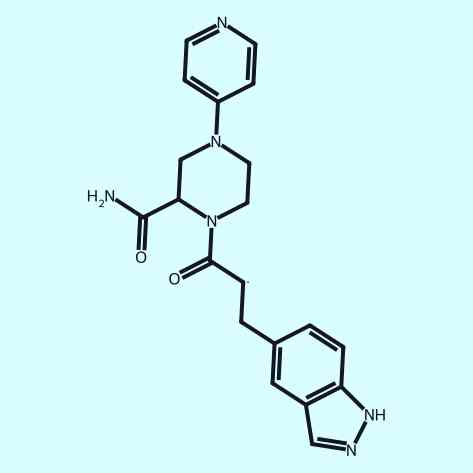 NC(=O)C1CN(c2ccncc2)CCN1C(=O)[CH]Cc1ccc2[nH]ncc2c1